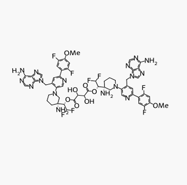 COc1cc(F)c(-c2cc(Cn3cnc4c(N)ncnc43)c(N3CCC[C@](N)([C@H](OC(=O)C(O)C(O)C(=O)O[C@H](C(F)F)[C@@]4(N)CCCN(c5cnc(-c6cc(F)c(OC)cc6F)cc5Cn5cnc6c(N)ncnc65)C4)C(F)F)C3)cn2)cc1F